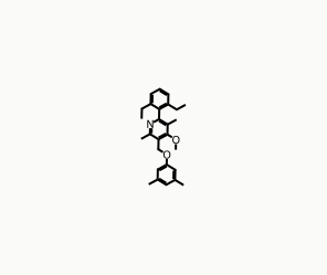 CCc1cccc(CC)c1-c1nc(C)c(COc2cc(C)cc(C)c2)c(OC)c1C